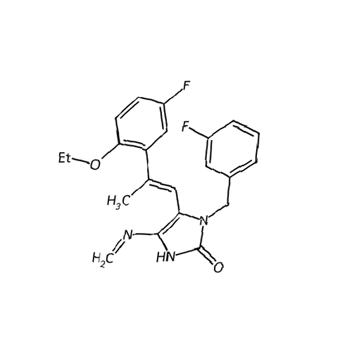 C=Nc1[nH]c(=O)n(Cc2cccc(F)c2)c1/C=C(\C)c1cc(F)ccc1OCC